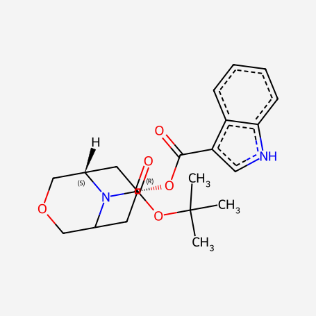 CC(C)(C)OC(=O)N1C2COC[C@@H]1C[C@H](OC(=O)c1c[nH]c3ccccc13)C2